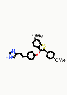 COc1ccc(-c2sc3cc(OC)ccc3c2Oc2ccc(C=Cc3c[nH]cn3)cc2)cc1